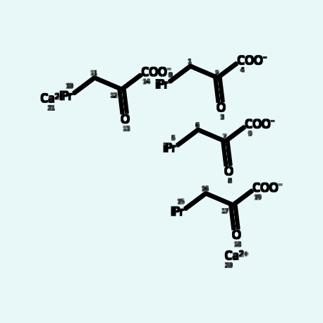 CC(C)CC(=O)C(=O)[O-].CC(C)CC(=O)C(=O)[O-].CC(C)CC(=O)C(=O)[O-].CC(C)CC(=O)C(=O)[O-].[Ca+2].[Ca+2]